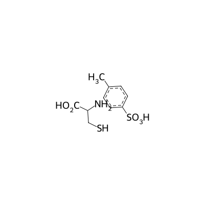 Cc1ccc(S(=O)(=O)O)cc1.NC(CS)C(=O)O